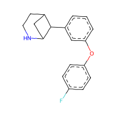 Fc1ccc(Oc2cccc(C3C4CCNC3C4)c2)cc1